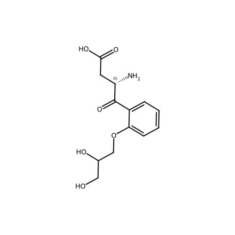 N[C@@H](CC(=O)O)C(=O)c1ccccc1OCC(O)CO